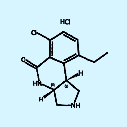 CCc1ccc(Cl)c2c1[C@H]1CNC[C@@H]1NC2=O.Cl